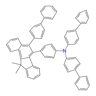 CC1(C)c2ccccc2-c2c(-c3ccc(N(c4ccc(-c5ccccc5)cc4)c4ccc(-c5ccccc5)cc4)cc3)c(-c3ccc(-c4ccccc4)cc3)c3ccccc3c21